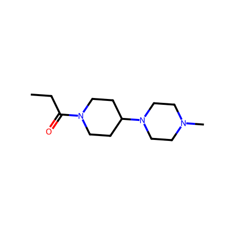 CCC(=O)N1CCC(N2CCN(C)CC2)CC1